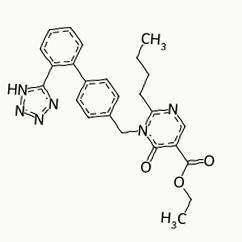 CCCCc1ncc(C(=O)OCC)c(=O)n1Cc1ccc(-c2ccccc2-c2nnn[nH]2)cc1